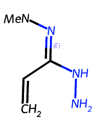 C=C/C(=N\NC)NN